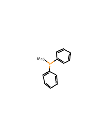 CSP(c1ccccc1)c1ccccc1